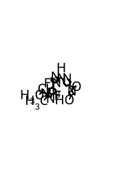 Cc1nc2c(F)cc(-c3nc(Nc4ccc(C(=O)N5CC(O)C5)cn4)ncc3F)cc2n1C(C)C